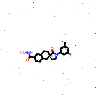 Cc1cc(F)cc(N2CC[C@@]3(CCc4cc(C(=O)NO)ccc4C3)C2=O)c1